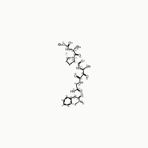 CCCC(NC(=O)[C@@H]1CC[C@H](C)N1C(=O)[C@@H](NC(=O)OCC(C)C)C(C)(C)C)C(=O)C(=O)NCC(=O)N[C@H](C(=O)N(C)C)c1ccccc1